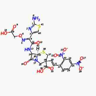 Nc1nc(C(=NOCC(=O)O)C(=O)NC2C(=O)N3CC(C=Cc4ccc([N+](=O)[O-])cc4[N+](=O)[O-])(C(=O)O)CS[C@H]23)cs1